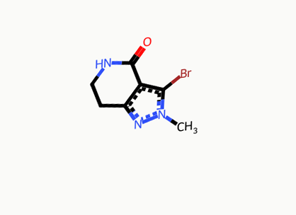 Cn1nc2c(c1Br)C(=O)NCC2